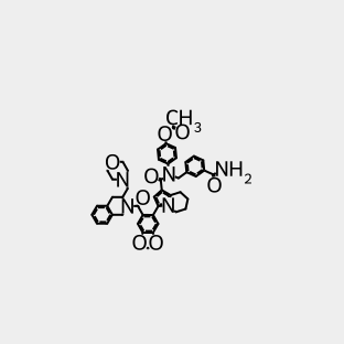 CC(=O)Oc1ccc(N(Cc2cccc(C(N)=O)c2)C(=O)c2cc(-c3cc4c(cc3C(=O)N3Cc5ccccc5CC3CN3CCOCC3)OCO4)n3c2CCCC3)cc1